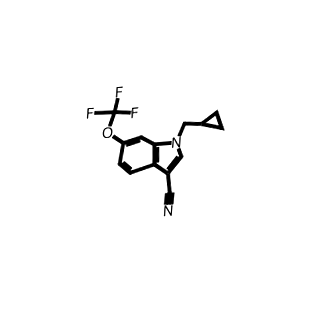 N#Cc1cn(CC2CC2)c2cc(OC(F)(F)F)ccc12